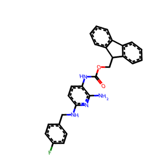 Nc1nc(NCc2ccc(F)cc2)ccc1NC(=O)OCC1c2ccccc2-c2ccccc21